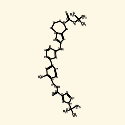 Cc1cc(-c2cc(Nc3cc4n(n3)CCCN(C(=O)OC(C)(C)C)C4)ncn2)ccc1CNC(=O)c1cnn(C(C)(C)C)c1